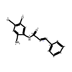 Nc1cc(Cl)c(Cl)cc1NC(=O)/C=C/c1ccccc1